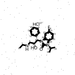 CCNC[C@@H](O)[C@H](c1ccccc1)n1c(=O)n(C(C)C)c2ccc(F)cc21.Cl